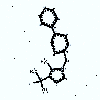 Cc1c(C(C)(C)F)ccn1Cc1ccc(-c2ccccc2)cc1